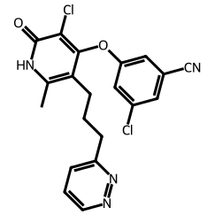 Cc1[nH]c(=O)c(Cl)c(Oc2cc(Cl)cc(C#N)c2)c1CCCc1cccnn1